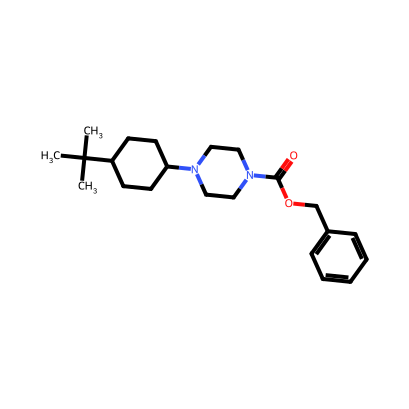 CC(C)(C)C1CCC(N2CCN(C(=O)OCc3ccccc3)CC2)CC1